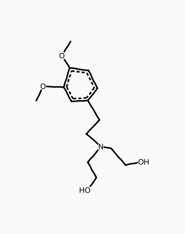 COc1ccc(CCN(CCO)CCO)cc1OC